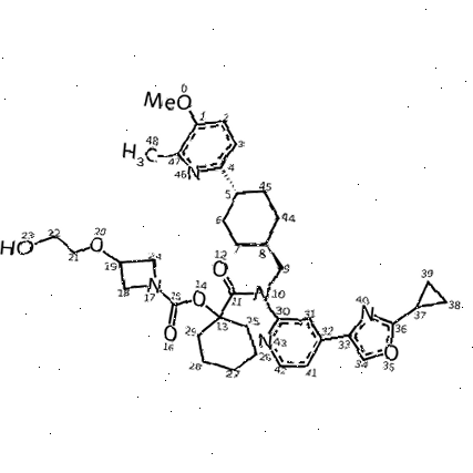 COc1ccc([C@H]2CC[C@H](CN(C(=O)C3(OC(=O)N4CC(OCCO)C4)CCCCC3)c3cc(-c4coc(C5CC5)n4)ccn3)CC2)nc1C